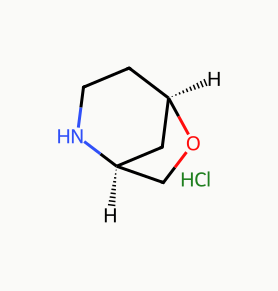 C1C[C@@H]2C[C@@H](CO2)N1.Cl